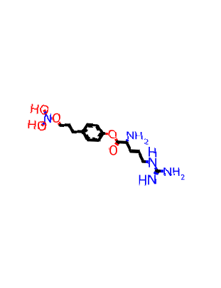 N=C(N)NCCCC(N)C(=O)Oc1ccc(CCCON(O)O)cc1